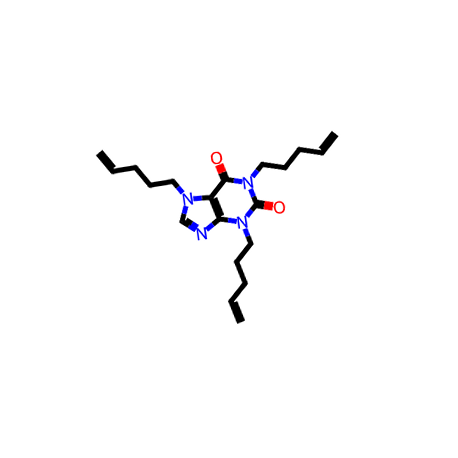 C=CCCCn1c(=O)c2c(ncn2CCCC=C)n(CCCC=C)c1=O